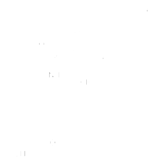 CCC(Oc1ccc(Cl)cc1Cl)C(=O)NCc1ccc(O)c(O)c1